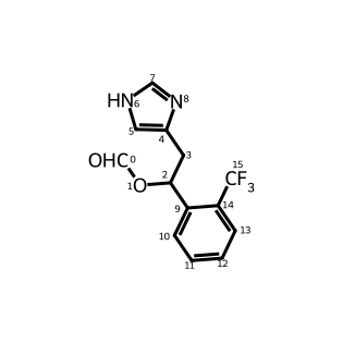 O=COC(Cc1c[nH]cn1)c1ccccc1C(F)(F)F